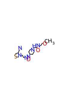 COCCNC(=O)CN1CCC(n2on2CCN2CSCC2C#N)CC1